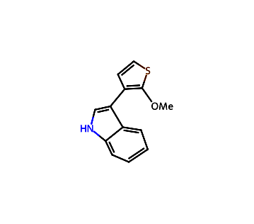 COc1sccc1-c1c[nH]c2ccccc12